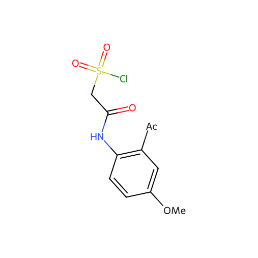 COc1ccc(NC(=O)CS(=O)(=O)Cl)c(C(C)=O)c1